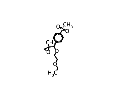 CCOCCOC(c1ccc(S(C)(=O)=O)cc1)[C@@]1(C)CO1